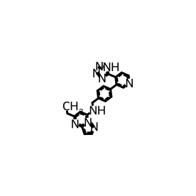 CCc1cc(NCc2ccc(-c3cnccc3-c3nnn[nH]3)cc2)n2nccc2n1